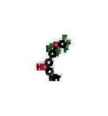 CCCC1CC=C(C2(O)CCC(c3cc(F)c(C(F)(F)Oc4cc(F)c(F)c(F)c4)c(F)c3)CC2)CC1